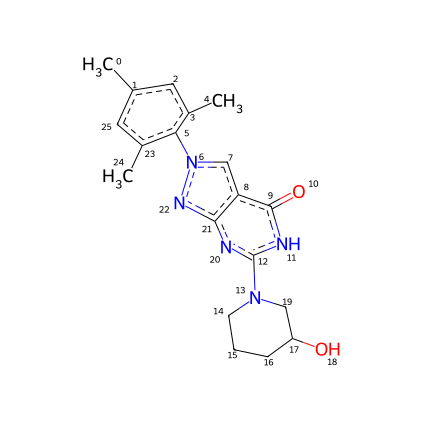 Cc1cc(C)c(-n2cc3c(=O)[nH]c(N4CCCC(O)C4)nc3n2)c(C)c1